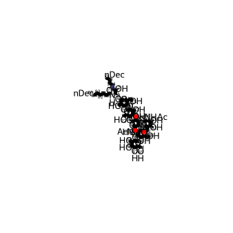 CCCCCCCCCCCCC/C=C/[C@@H](O)[C@H](CO[C@@H]1OC(CO)[C@@H](O[C@@H]2OC(CO)[C@H](O[C@@H]3OC(CO)[C@H](O[C@@H]4OC(CO)[C@H](O)[C@H](O[C@@H]5OC(CO)[C@H](O)[C@H](O)C5O)C4NC(C)=O)[C@H](O[C@@H]4OC(CO)[C@H](O)[C@H](O)C4NC(C)=O)C3O)[C@H](O)C2O)[C@H](O)C1O)NC(=O)CCCCCCCCCCCCCCC